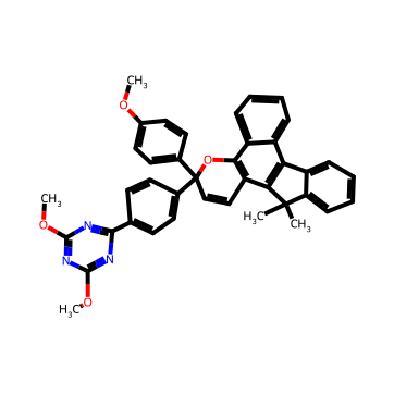 COc1ccc(C2(c3ccc(-c4nc(OC)nc(OC)n4)cc3)C=Cc3c4c(c5ccccc5c3O2)-c2ccccc2C4(C)C)cc1